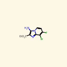 CCOC(=O)c1nc2c(Br)c(F)ccn2c1N